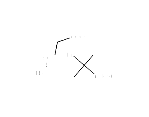 O=C([O-])CC(=O)[O-].[Li][C](C)(CCCCCCC)C(C)C.[Na+].[Na+]